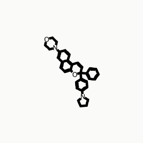 C1=CC(c2ccccc2)(c2ccc(N3CCCC3)cc2)Oc2ccc3cc(N4CCOCC4)ccc3c21